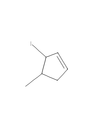 CC1CC=CC1I